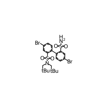 CC(C)(C)CN(CC(C)(C)C)S(=O)(=O)c1cc(Br)ccc1-c1ccc(Br)cc1S(N)(=O)=O